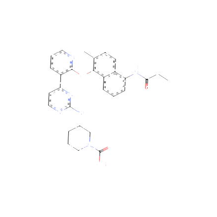 CCC(=O)Nc1cccc2c(Oc3ncccc3-c3ccnc(N[C@H]4CCCN(C(=O)O)C4)n3)c(C)ccc12